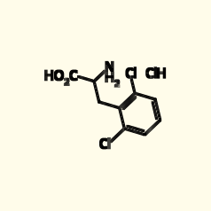 Cl.NC(Cc1c(Cl)cccc1Cl)C(=O)O